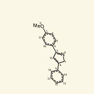 COc1ccc(C2=NCC(c3ccccc3)=C2)cc1